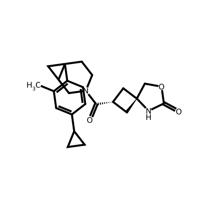 Cc1cc(C2CC2)ccc1C12CCN(C(=O)[C@H]3C[C@]4(COC(=O)N4)C3)CC1C2